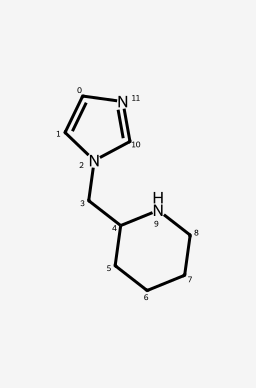 c1cn(CC2CCCCN2)cn1